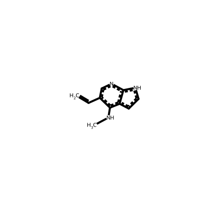 C=Cc1cnc2[nH]ccc2c1NC